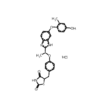 Cc1cc(O)ccc1Oc1ccc2nc(C(C)Oc3ccc(CC4SC(=O)NC4=O)cc3)[nH]c2c1.Cl